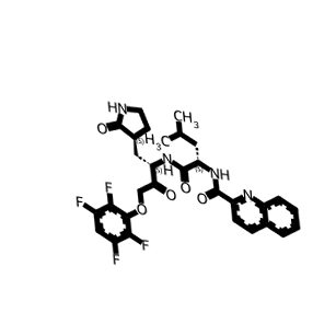 CC(C)C[C@H](NC(=O)c1ccc2ccccc2n1)C(=O)N[C@@H](C[C@@H]1CCNC1=O)C(=O)COc1c(F)c(F)cc(F)c1F